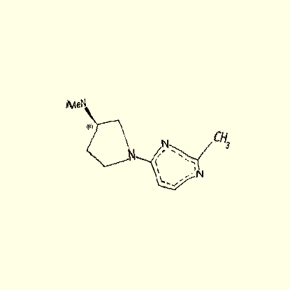 CN[C@@H]1CCN(c2ccnc(C)n2)C1